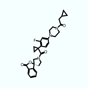 O=C1O[C@]2(CCN(C(=O)C3(c4ccc(N5CCN(C(=O)CC6CC6)CC5)cc4F)CC3)C2)c2ccccc21